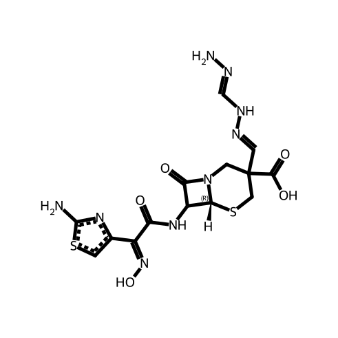 NN=CNN=CC1(C(=O)O)CS[C@@H]2C(NC(=O)C(=NO)c3csc(N)n3)C(=O)N2C1